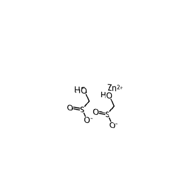 O=S([O-])CO.O=S([O-])CO.[Zn+2]